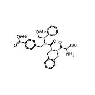 COC[C@@H](c1ccccc1)N(Cc1ccc(C(=O)OC)cc1)C(=O)[C@@H]1Cc2ccccc2CN1C(=O)C(N)C(C)(C)C